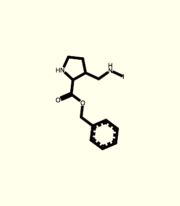 O=C(OCc1ccccc1)C1NCCC1CNI